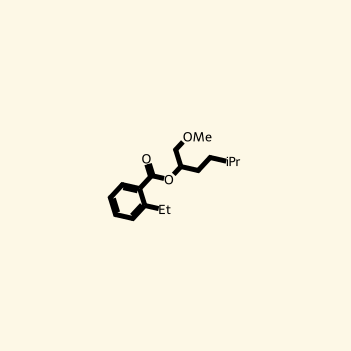 CCc1ccccc1C(=O)OC(CCC(C)C)COC